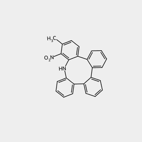 Cc1ccc2c([nH]c3ccccc3c3ccccc3c3ccccc23)c1[N+](=O)[O-]